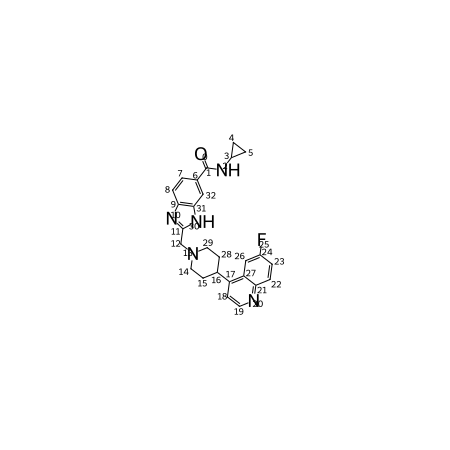 O=C(NC1CC1)c1ccc2nc(CN3CCC(c4ccnc5ccc(F)cc45)CC3)[nH]c2c1